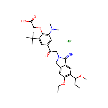 Br.CCOc1cc2c(cc1C(CC)OC)C(=N)N(CC(=O)c1cc(N(C)C)c(OCC(=O)O)c(C(C)(C)C)c1)C2